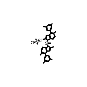 CC1=Cc2c(ccc(C)c2-c2cc(C)cc(C)c2)C1[Si](C)(C)C1C(C)=Cc2c1ccc(C)c2-c1cc(C)cc(C)c1.C[Si](C)(Cl)Cl